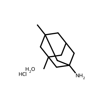 CC12CC3CC(C)(C1)CC(N)(C3)C2.Cl.O